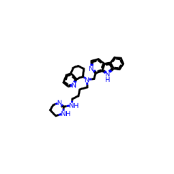 c1cnc2c(c1)CCCC2N(CCCCNC1=NCCCN1)Cc1nccc2c1[nH]c1ccccc12